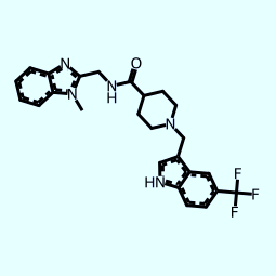 Cn1c(CNC(=O)C2CCN(Cc3c[nH]c4ccc(C(F)(F)F)cc34)CC2)nc2ccccc21